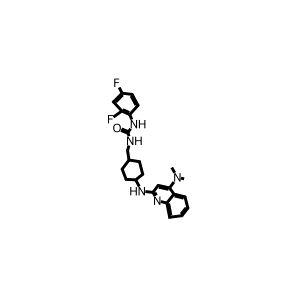 CN(C)c1cc(NC2CCC(CNC(=O)Nc3ccc(F)cc3F)CC2)nc2ccccc12